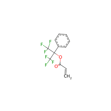 C=CC(=O)OC(c1ccccc1)(C(F)(F)F)C(F)(F)F